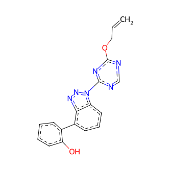 C=CCOc1ncnc(-n2nnc3c(-c4ccccc4O)cccc32)n1